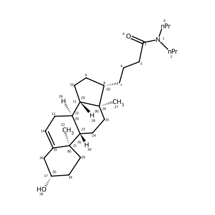 CCCN(CCC)C(=O)CCC[C@H]1CC[C@H]2[C@@H]3CC=C4C[C@@H](O)CC[C@]4(C)[C@H]3CC[C@]12C